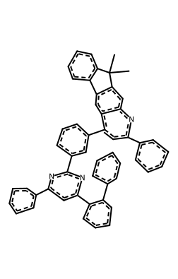 CC1(C)c2ccccc2-c2cc3c(-c4cccc(-c5nc(-c6ccccc6)cc(-c6ccccc6-c6ccccc6)n5)c4)cc(-c4ccccc4)nc3cc21